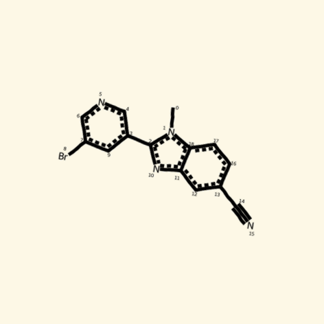 Cn1c(-c2cncc(Br)c2)nc2cc(C#N)ccc21